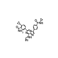 CC(C)CNc1nc(-c2ccc(C3CC3)c(C(N)=O)c2)cn2c(-c3ccc(C(=O)NC4CC4)cc3)cnc12